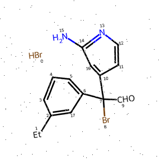 Br.CCc1cccc(C(Br)(C=O)c2ccnc(N)c2)c1